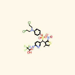 Cc1csc([N+](=O)[O-])c1C(c1ccc(N)nc1)S(=O)(=O)Oc1ccc(N(CCCl)CCCl)cc1.O=C(O)C(F)(F)F